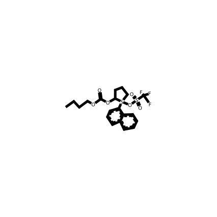 CCCCOC(=O)OC1CCCS1(OS(=O)(=O)C(F)(F)F)c1cccc2ccccc12